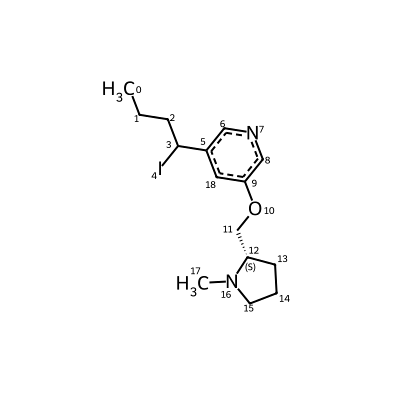 CCCC(I)c1cncc(OC[C@@H]2CCCN2C)c1